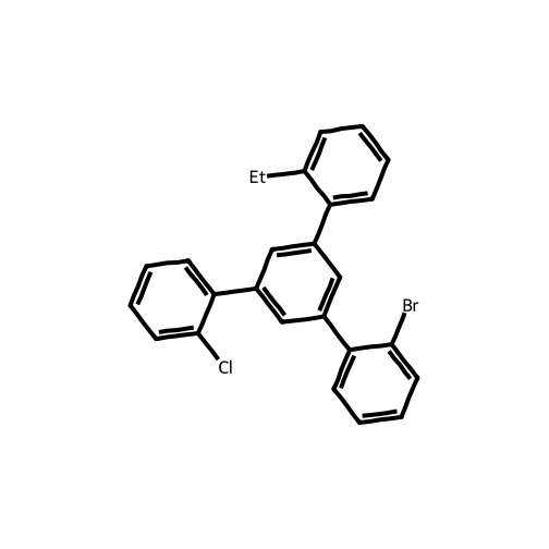 CCc1ccccc1-c1cc(-c2ccccc2Cl)cc(-c2ccccc2Br)c1